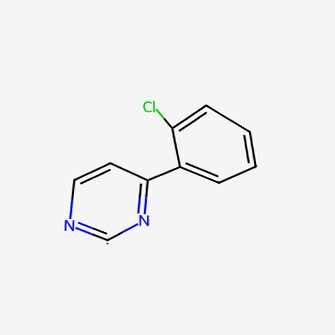 Clc1ccccc1-c1ccn[c]n1